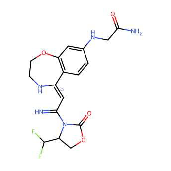 N=C(/C=C1\NCCOc2cc(NCC(N)=O)ccc21)N1C(=O)OCC1C(F)F